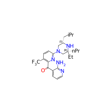 CCC[C@]1(CC)CN(c2ccc(C(F)(F)F)c(C(=O)c3cccnc3N)n2)C[C@H](CC(C)C)N1